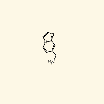 CCc1ccn2ccnc2c1